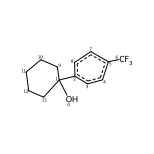 OC1(c2ccc(C(F)(F)F)cc2)CCCCC1